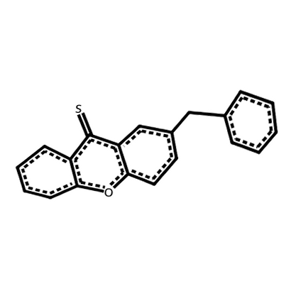 S=c1c2ccccc2oc2ccc(Cc3ccccc3)cc12